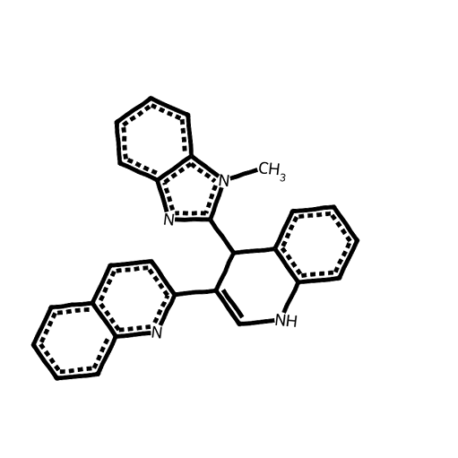 Cn1c(C2C(c3ccc4ccccc4n3)=CNc3ccccc32)nc2ccccc21